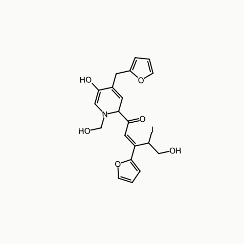 O=C(/C=C(/c1ccco1)C(I)CO)C1C=C(Cc2ccco2)C(O)=CN1CO